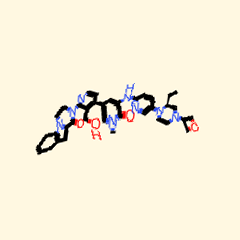 CC[C@H]1CN(C2COC2)CCN1c1ccc(Nc2cc(-c3ccnc(N4CCn5c(cc6c5CCCC6)C4=O)c3CO)cn(C)c2=O)nc1